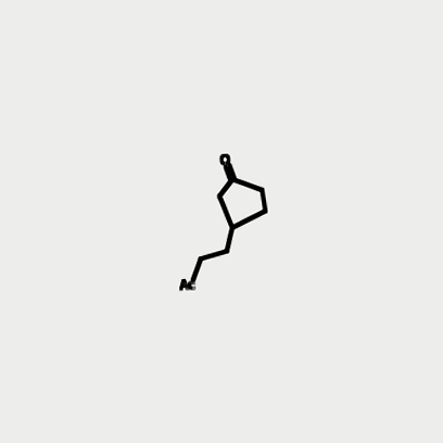 CC(=O)CCC1CCC(=O)C1